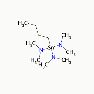 CCC[CH2][Sn]([N](C)C)([N](C)C)[N](C)C